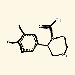 Cc1cc(C2CNCCN2C(=O)O)ccc1F